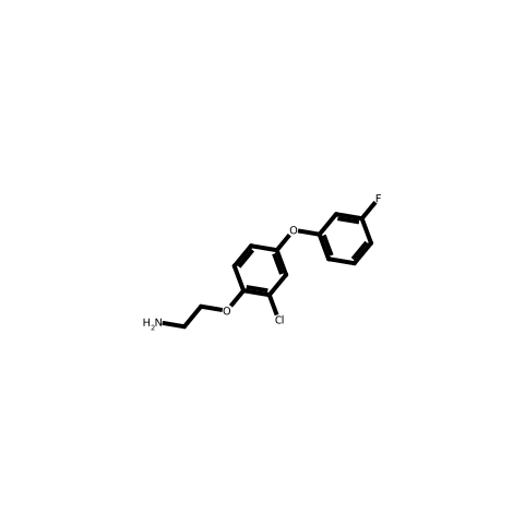 NCCOc1ccc(Oc2cccc(F)c2)cc1Cl